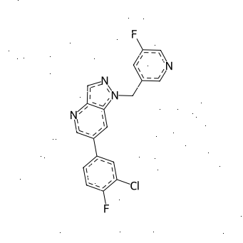 Fc1cncc(Cn2ncc3ncc(-c4ccc(F)c(Cl)c4)cc32)c1